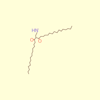 CCCCCCCCCCCCCCCC(=O)C(CCNC)C(=O)CCCCCCCCCCCCCCC